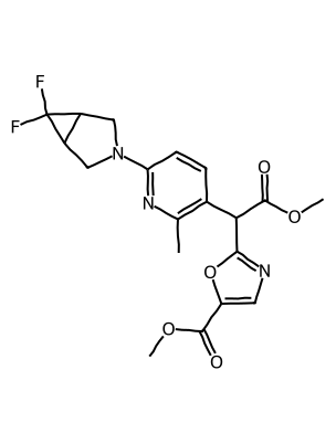 COC(=O)c1cnc(C(C(=O)OC)c2ccc(N3CC4C(C3)C4(F)F)nc2C)o1